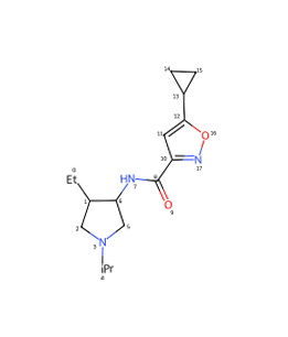 CCC1CN(C(C)C)CC1NC(=O)c1cc(C2CC2)on1